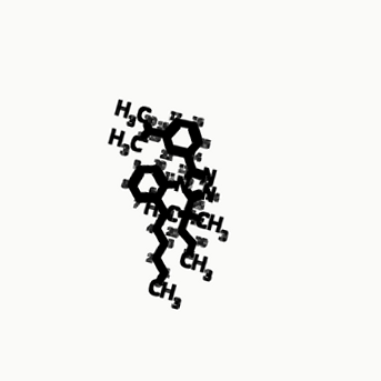 CCCCCCc1ccccc1-n1c(-c2cccc(C(C)C)c2)nnc1C(C)(C)CCC